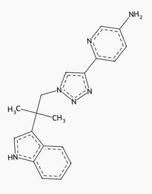 CC(C)(Cn1cc(-c2ccc(N)cn2)nn1)c1c[nH]c2ccccc12